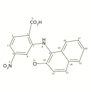 O=C(O)c1ccc([N+](=O)[O-])cc1Nc1c(Cl)ccc2ccccc12